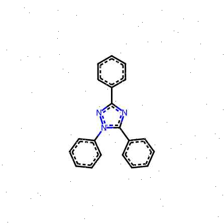 c1ccc(-c2nc(-c3ccccc3)n(-c3ccccc3)n2)cc1